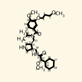 COCCCOc1cc(C(=O)N(C[C@@H]2CNC[C@H]2CNC(=O)[C@@H](OC)C2CCCCC2)C(C)C)ccc1OC